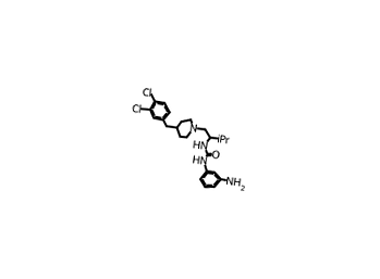 CC(C)C(CN1CCC(Cc2ccc(Cl)c(Cl)c2)CC1)NC(=O)Nc1cccc(N)c1